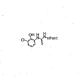 CCCCCNC(=S)Nc1cccc(Cl)c1O